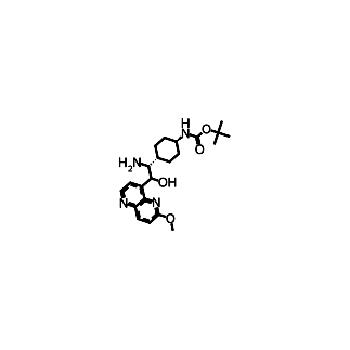 COc1ccc2nccc(C(O)C(N)[C@H]3CC[C@H](NC(=O)OC(C)(C)C)CC3)c2n1